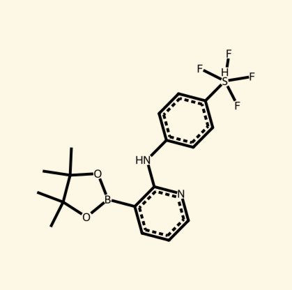 CC1(C)OB(c2cccnc2Nc2ccc([SH](F)(F)(F)F)cc2)OC1(C)C